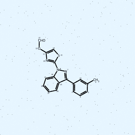 Cc1cccc(-c2nn(-c3nc(OC=O)cs3)c3ccccc23)c1